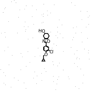 OC1CCc2oc(-c3ccc(OCC4CC4)c(Cl)c3)nc2C1